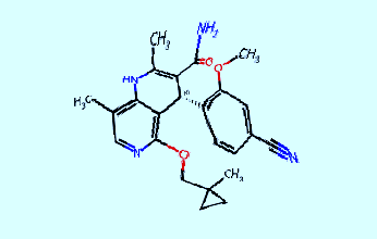 COc1cc(C#N)ccc1[C@H]1C(C(N)=O)=C(C)Nc2c(C)cnc(OCC3(C)CC3)c21